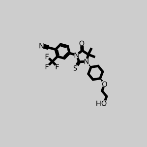 CC1(C)C(=O)N(c2ccc(C#N)c(C(F)(F)F)c2)C(=S)N1[C@H]1CC[C@H](OCCO)CC1